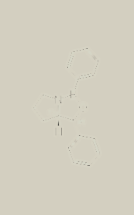 c1ccc(B2O[C@H](c3ccccc3)[C@@H]3CCCN23)cc1